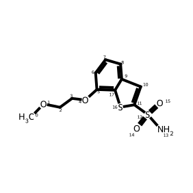 COCCOc1cccc2cc(S(N)(=O)=O)sc12